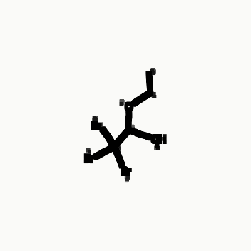 CCOC(O)C(Br)(Br)Br